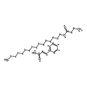 CCCCCCCCCCCCCCCCOC(=O)CCC.O=C(O)C=Cc1ccccc1